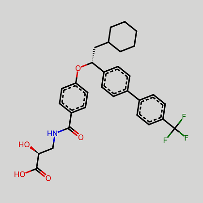 O=C(NC[C@H](O)C(=O)O)c1ccc(O[C@H](CC2CCCCC2)c2ccc(-c3ccc(C(F)(F)F)cc3)cc2)cc1